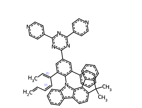 C=C/C=C\C(=C/C)c1cc(-c2nc(-c3ccncc3)nc(-c3ccncc3)n2)cc(-c2ccccc2)c1-n1c2ccccc2c2ccc3c(c21)-c1ccccc1C3(C)C